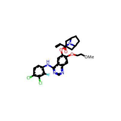 C=CC(=O)N1C2CCC1CC(Oc1cc3c(Nc4ccc(Cl)c(Cl)c4F)ncnc3cc1OCCOC)C2